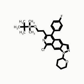 CC(C)(C)[Si](C)(C)OCCc1nc(Cl)c2cc3c(cnn3C3CCCCO3)cc2c1-c1ccc(F)cc1